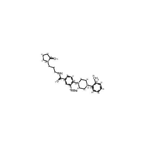 CNc1cc(C(=O)NCCCN2CCCC2=O)ccc1N1CCN(c2ccccc2C)CC1